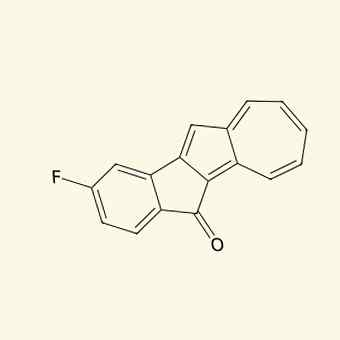 O=C1c2ccc(F)cc2-c2cc3cccccc-3c21